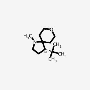 CN1CC[C@@H](C(C)(C)C)C12CCOCC2